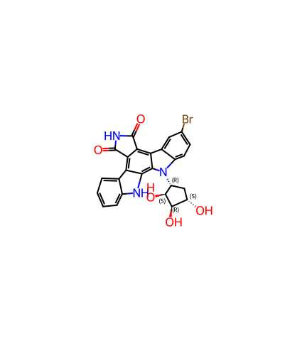 O=C1NC(=O)c2c1c1c3ccccc3[nH]c1c1c2c2cc(Br)ccc2n1[C@@H]1C[C@H](O)[C@@H](O)[C@H]1O